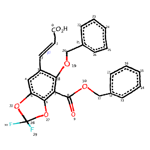 O=C(O)/C=C/c1cc2c(c(C(=O)OCc3ccccc3)c1OCc1ccccc1)OC(F)(F)O2